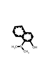 C[S+](C)c1c(O)ccc2ccccc12